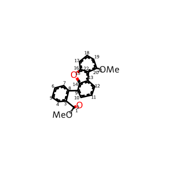 COC(=O)c1ccccc1-c1cccc2c1oc1cccc(OC)c12